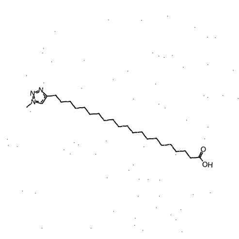 Cn1cc(CCCCCCCCCCCCCCCCCCCCC(=O)O)nn1